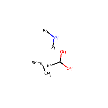 CCC(O)O.CCCCCC.CCNCC